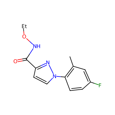 CCONC(=O)c1ccn(-c2ccc(F)cc2C)n1